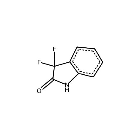 O=C1Nc2ccc[c]c2C1(F)F